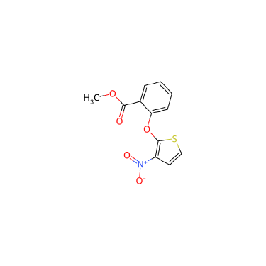 COC(=O)c1ccccc1Oc1sccc1[N+](=O)[O-]